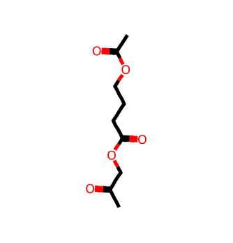 CC(=O)COC(=O)CCCOC(C)=O